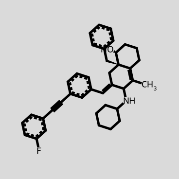 CC1=C2CCC[C@H](O)[C@@]2(Cc2ccccc2)C/C(=C\c2cccc(C#Cc3cccc(F)c3)c2)C1NC1CCCCC1